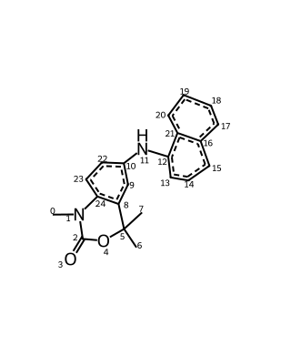 CN1C(=O)OC(C)(C)c2cc(Nc3cccc4ccccc34)ccc21